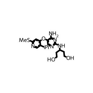 CSc1cc(Oc2cnc(NC(CCO)CCO)nc2N)c(C(C)C)cn1